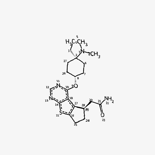 CC[C@]1(N(C)C)CC[C@H](Oc2ncnc3sc4c(c23)[C@@H](CC(N)=O)CC4)CC1